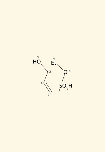 C=CCO.CCOS(=O)(=O)O